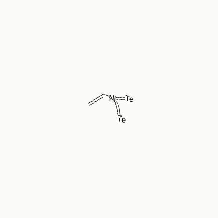 C=[CH][Ni](=[Te])=[Te]